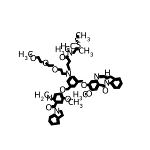 C=Nc1cc(OCc2cc(COc3cc4c(cc3OC)C(=O)N3c5ccccc5C[C@H]3C=N4)cc(N(CCCC(=O)N(C)CC(C)(C)SSC)CCOCCOCCOC)c2)c(OC)cc1C(=O)N1CCc2ccccc21